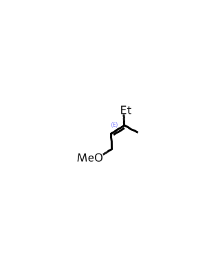 CC/C(C)=C/COC